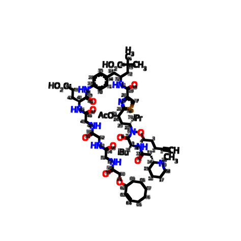 C#CCCCON(C(=O)[C@@H](NC(=O)C[C@H]1CCCCN1C)[C@@H](C)CC)[C@H](C[C@@H](OC(C)=O)c1nc(C(=O)N[C@@H](Cc2ccc(NC(=O)[C@H](CCC(=O)O)NC(=O)CNC(=O)CNC(=O)CNC(=O)COC3/C=C\CCCCC3)cc2)CC(C)(C)C(=O)O)cs1)C(C)C